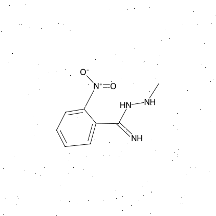 CNNC(=N)c1ccccc1[N+](=O)[O-]